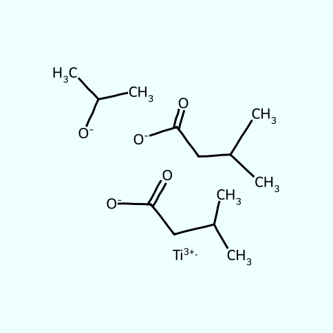 CC(C)CC(=O)[O-].CC(C)CC(=O)[O-].CC(C)[O-].[Ti+3]